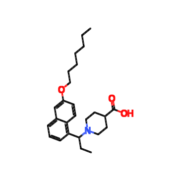 CCCCCCCOc1ccc2c(C(CC)N3CCC(C(=O)O)CC3)cccc2c1